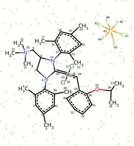 Cc1cc(C)c(N2CC(C[N+](C)(C)C)N(c3c(C)cc(C)cc3C)[C]2=[Ru-4]([Cl])([Cl])=[CH]c2ccccc2OC(C)C)c(C)c1.F[P-](F)(F)(F)(F)F